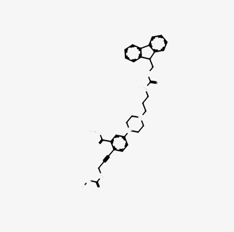 COC(=O)c1cc(N2CCN(CCCNC(=O)OCC3c4ccccc4-c4ccccc43)CC2)ccc1C#CCNC(=O)OC(C)(C)C